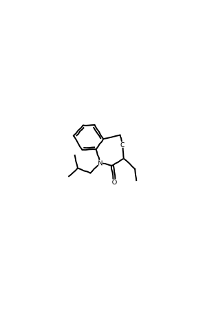 CCC1CCc2ccccc2N(CC(C)C)C1=O